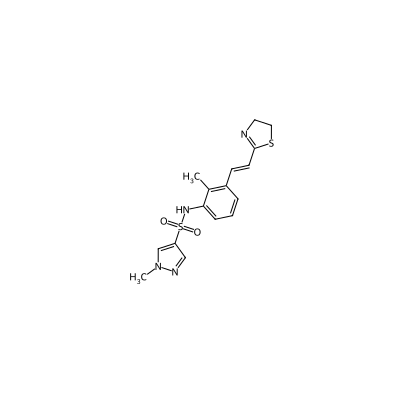 Cc1c(/C=C/C2=NCCS2)cccc1NS(=O)(=O)c1cnn(C)c1